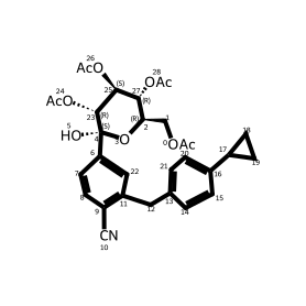 CC(=O)OC[C@H]1O[C@@](O)(c2ccc(C#N)c(Cc3ccc(C4CC4)cc3)c2)[C@H](OC(C)=O)[C@@H](OC(C)=O)[C@@H]1OC(C)=O